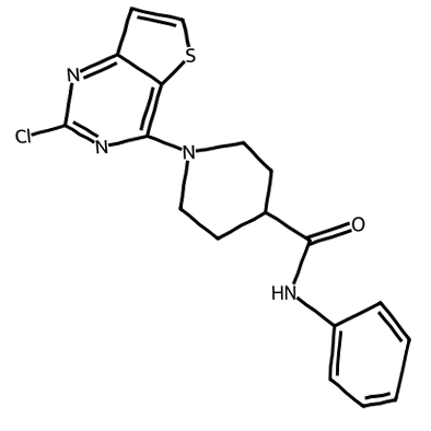 O=C(Nc1ccccc1)C1CCN(c2nc(Cl)nc3ccsc23)CC1